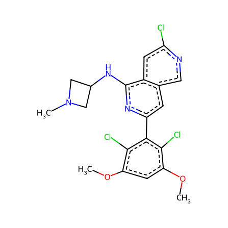 COc1cc(OC)c(Cl)c(-c2cc3cnc(Cl)cc3c(NC3CN(C)C3)n2)c1Cl